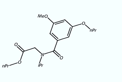 CCCOC(=O)CN(C(=O)c1cc(OC)cc(OCCC)c1)C(C)C